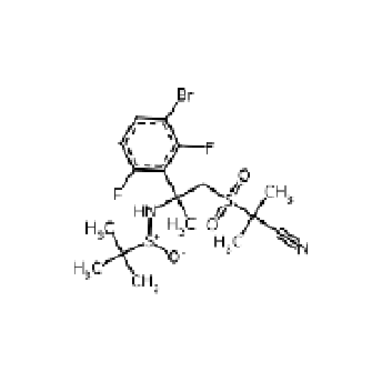 CC(CS(=O)(=O)C(C)(C)C#N)(N[S+]([O-])C(C)(C)C)c1c(F)ccc(Br)c1F